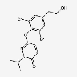 CC(C)n1nc(Oc2c(Br)cc(CCO)cc2Br)ccc1=O